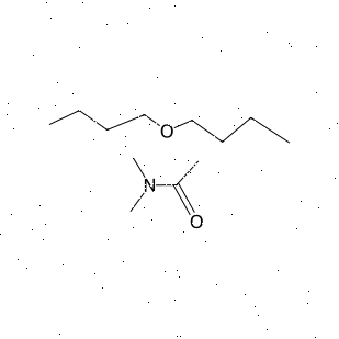 CC(=O)N(C)C.CCCCOCCCC